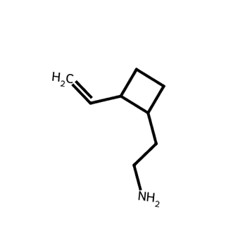 C=CC1CCC1CCN